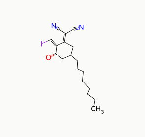 CCCCCCCCC1CC(=O)/C(=C\I)C(=C(C#N)C#N)C1